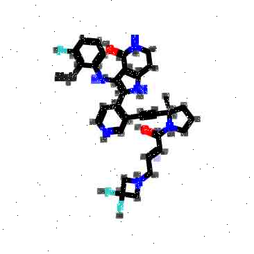 COc1c(F)cccc1Nc1c(-c2ccncc2C#C[C@@]2(C)CCCN2C(=O)/C=C/CN2CC(F)(F)C2)[nH]c2c1C(=O)NCC2